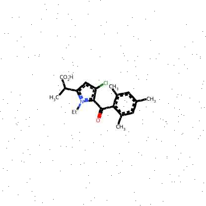 CCn1c(C(C)C(=O)O)cc(Cl)c1C(=O)c1c(C)cc(C)cc1C